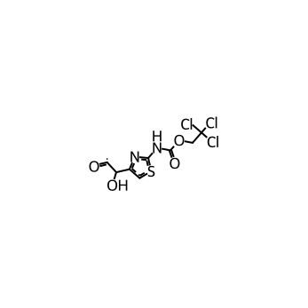 O=[C]C(O)c1csc(NC(=O)OCC(Cl)(Cl)Cl)n1